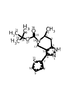 CC1Cc2[nH]nc(-c3cccs3)c2CN1C(=O)OC(C)(C)C